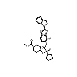 COC(=O)C1CCC(OC(F)(C(=O)Cc2ccc3nc(N4CCc5ccccc54)oc3c2F)N2CCCC2)CC1